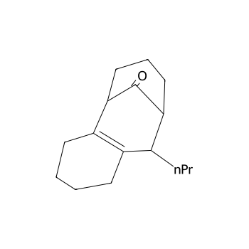 CCCC1C2=C(CCCC2)C2CCCC1C2=O